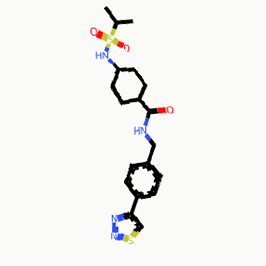 CC(C)S(=O)(=O)NC1CCC(C(=O)NCc2ccc(-c3csnn3)cc2)CC1